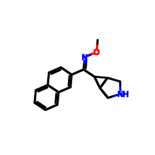 CON=C(c1ccc2ccccc2c1)C1C2CNCC21